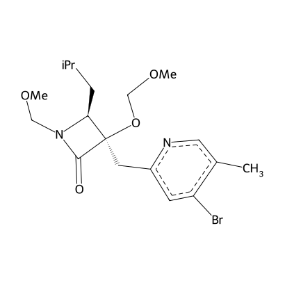 COCO[C@@]1(Cc2cc(Br)c(C)cn2)C(=O)N(COC)[C@H]1CC(C)C